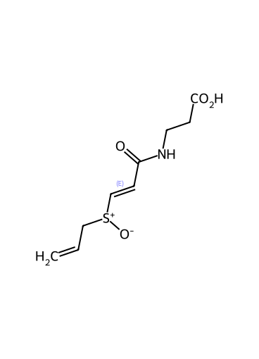 C=CC[S+]([O-])/C=C/C(=O)NCCC(=O)O